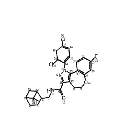 CC1(C)C2CCC(CNC(=O)c3nn(C4=CC=C(Cl)CC4Cl)c4c3CCOc3cc(Cl)ccc3-4)C1C2